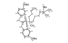 C=CCC[C@@](C)(CCCO[Si](C)(C)C(C)(C)C)S(=O)(=O)N(Cc1ccc(OC)cc1)Cc1ccc(OC)cc1